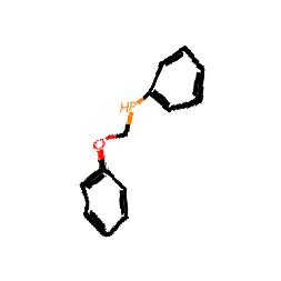 c1ccc(OCPc2ccccc2)cc1